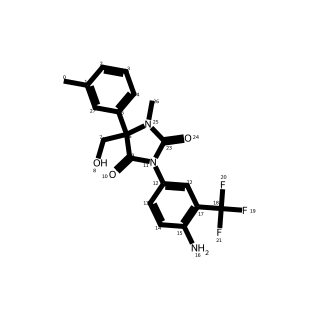 Cc1cccc(C2(CO)C(=O)N(c3ccc(N)c(C(F)(F)F)c3)C(=O)N2C)c1